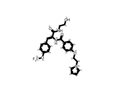 O=C(NCCO)C(=Cc1ccc(OC(F)(F)F)cc1)NC(=O)c1ccc(OCCn2cccc2)cc1